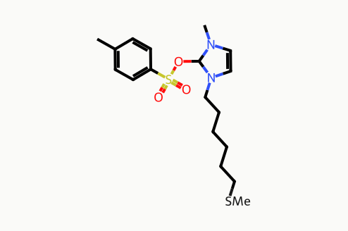 CSCCCCCCN1C=CN(C)C1OS(=O)(=O)c1ccc(C)cc1